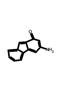 NC1=CC(=O)C2=Cc3ccccc3C2=C1